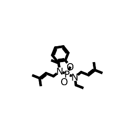 CCN(CC=C(C)C)P(=O)(Oc1ccccc1)N(CC)CC=C(C)C